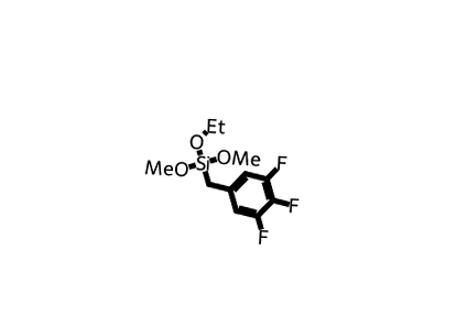 CCO[Si](Cc1cc(F)c(F)c(F)c1)(OC)OC